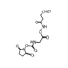 O=CCCC(=O)NOC(=O)CNC(=O)ON1C(=O)CCC1=O